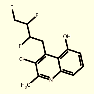 Cc1nc2cccc(O)c2c(CC(F)C(F)CF)c1Cl